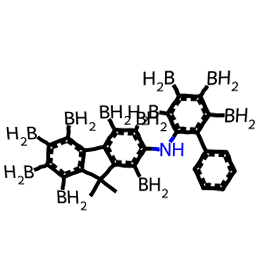 Bc1c(B)c(B)c(-c2ccccc2)c(Nc2c(B)c(B)c3c(c2B)C(C)(C)c2c(B)c(B)c(B)c(B)c2-3)c1B